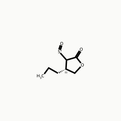 CCC[C@H]1COC(=O)C1[S+]=O